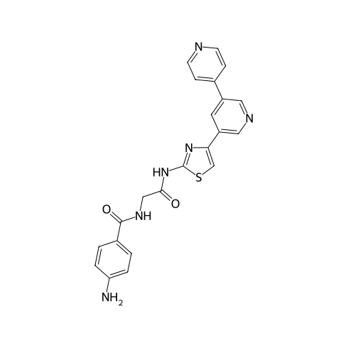 Nc1ccc(C(=O)NCC(=O)Nc2nc(-c3cncc(-c4ccncc4)c3)cs2)cc1